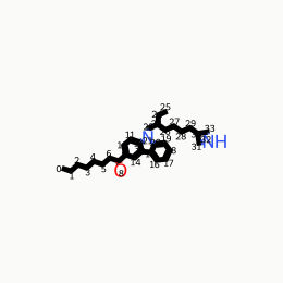 CCCCCCCC(=O)c1ccc2c(c1)c1ccccc1n2CC(CC)CCCCC1CNC1